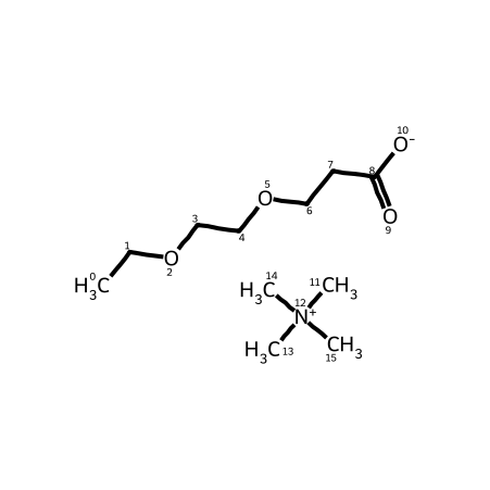 CCOCCOCCC(=O)[O-].C[N+](C)(C)C